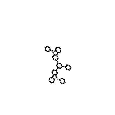 c1ccc(-c2cc(-c3ccc4c(c3)c3ccccc3n4-c3ccccc3)cc(-c3ccc4c5ccccc5n(-c5ccccc5)c4c3)c2)cc1